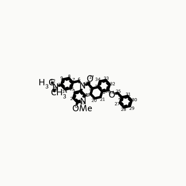 COc1ccc(N(Cc2ccc(N(C)C)cc2)C(=O)C2CCCc3c(OCc4ccccc4)cccc32)cn1